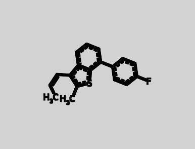 C/C=C\c1c(C)sc2c(-c3ccc(F)cc3)cccc12